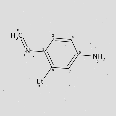 C=Nc1ccc(N)cc1CC